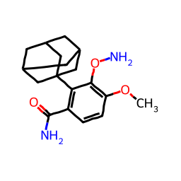 COc1ccc(C(N)=O)c(C23CC4CC(CC(C4)C2)C3)c1ON